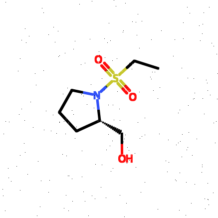 CCS(=O)(=O)N1CCC[C@H]1CO